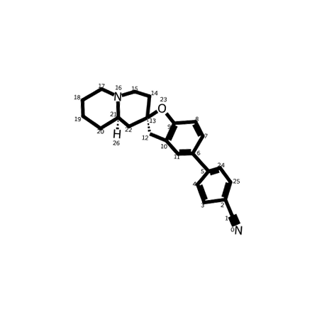 N#Cc1ccc(-c2ccc3c(c2)C[C@]2(CCN4CCCC[C@@H]4C2)O3)cc1